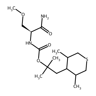 COC[C@H](NC(=O)OC(C)(C)CC1C(C)CSCC1C)C(N)=O